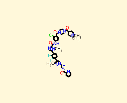 Cc1nn(CCNC(=O)c2ccccn2)cc1-c1ccc(-c2cnc(C(=O)Nc3ccc(C(=O)N4CCN(C(=O)C5CC[N+](C)(C)CC5)CC4)c(Cl)c3)n2C)c(F)c1F